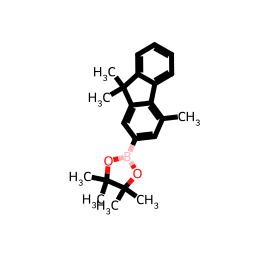 Cc1cc(B2OC(C)(C)C(C)(C)O2)cc2c1-c1ccccc1C2(C)C